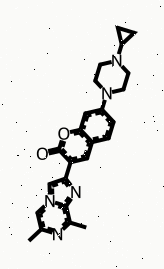 Cc1cn2cc(-c3cc4ccc(N5CCN(C6CC6)CC5)cc4oc3=O)nc2c(C)n1